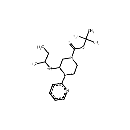 CCC(C)NC1CN(C(=O)OC(C)(C)C)CCN1c1ccccn1